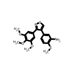 COc1cc(-c2nscc2-c2ccc(SC)c(N)c2)cc(OC)c1OC